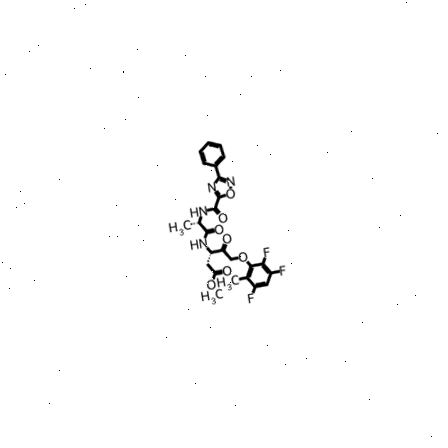 COC(=O)C[C@H](NC(=O)[C@H](C)NC(=O)c1nc(-c2ccccc2)no1)C(=O)COc1c(C)c(F)cc(F)c1F